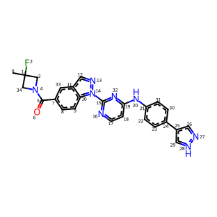 CC1(F)CN(C(=O)c2ccc3c(cnn3-c3nccc(Nc4ccc(-c5cn[nH]c5)cc4)n3)c2)C1